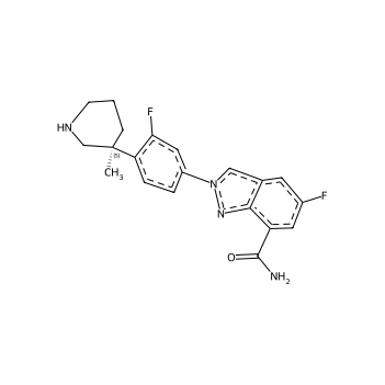 C[C@@]1(c2ccc(-n3cc4cc(F)cc(C(N)=O)c4n3)cc2F)CCCNC1